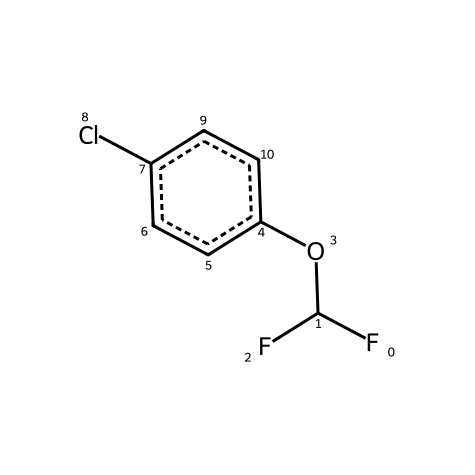 FC(F)Oc1ccc(Cl)cc1